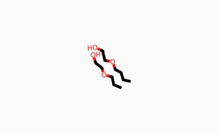 CCCCOCCO.CCCOCCO